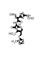 CON=C(C(=O)NC1C(=O)N2C(C(=O)O)=C(CSc3nnnn3C)CS[C@@H]12)c1nsc(NC=O)n1